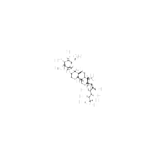 C[C@H]([C@H](O)[C@@H](O)[C@@H](O)C(C)(C)O)[C@H]1CC[C@@]2(C)C3CC=C4[C@H](CCC(O[C@@H]5O[C@H](CO)[C@@H](O)[C@H](O)[C@H]5O)C4(C)C)[C@@]3(C)CC[C@]12C